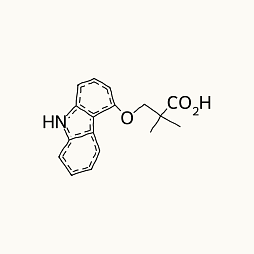 CC(C)(COc1cccc2[nH]c3ccccc3c12)C(=O)O